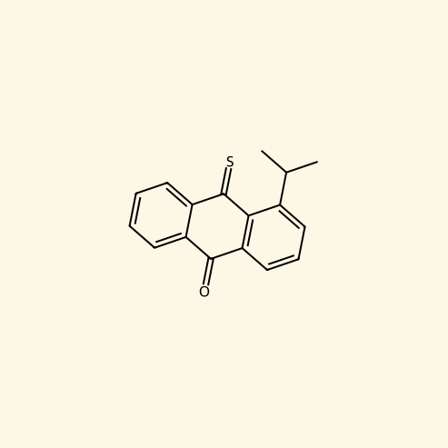 CC(C)c1cccc2c1C(=S)c1ccccc1C2=O